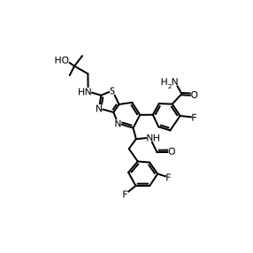 CC(C)(O)CNc1nc2nc(C(Cc3cc(F)cc(F)c3)NC=O)c(-c3ccc(F)c(C(N)=O)c3)cc2s1